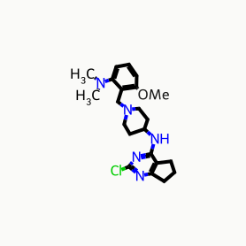 COc1cccc(N(C)C)c1CN1CCC(Nc2nc(Cl)nc3c2CCC3)CC1